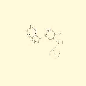 Cn1cc(-c2cc(NC3CC4CCC3CC4)c(F)cn2)c2cncnc21